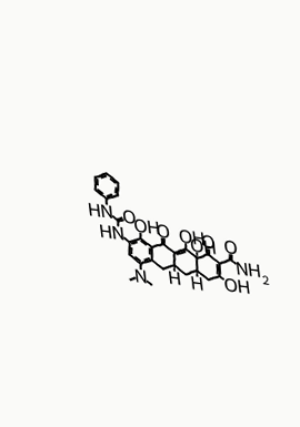 CN(C)c1cc(NC(=O)Nc2ccccc2)c(O)c2c1C[C@H]1C[C@H]3CC(O)=C(C(N)=O)C(=O)[C@@]3(O)C(O)=C1C2=O